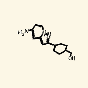 Nc1ccn2nc(C3CCC(CO)CC3)cc2c1